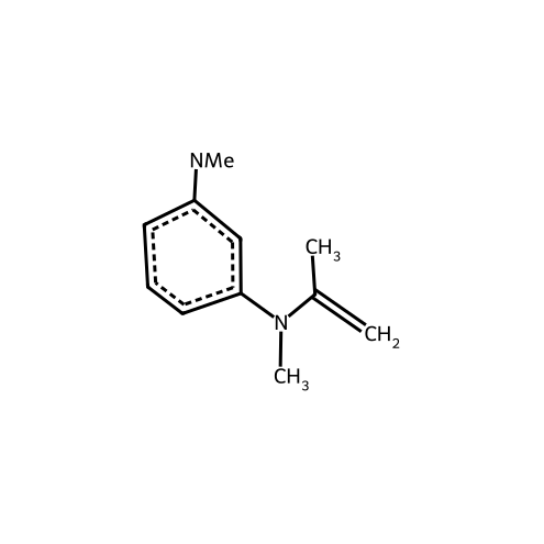 C=C(C)N(C)c1cccc(NC)c1